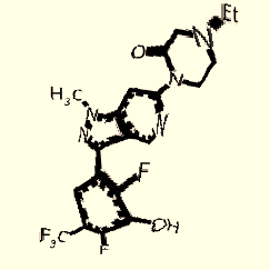 CCN1CCN(c2cc3c(cn2)c(-c2cc(C(F)(F)F)c(F)c(O)c2F)nn3C)C(=O)C1